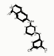 O=c1[nH]ccc2cc(NC3CCCN(Cc4cc(Cl)cc(Cl)c4)C3)ccc12